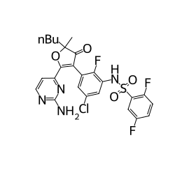 CCCCC1(C)OC(c2ccnc(N)n2)=C(c2cc(Cl)cc(NS(=O)(=O)c3cc(F)ccc3F)c2F)C1=O